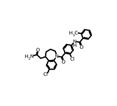 Cc1ccccc1C(=O)Nc1ccc(C(=O)N2CCCC(CC(N)=O)c3cc(Cl)ccc32)c(Cl)c1